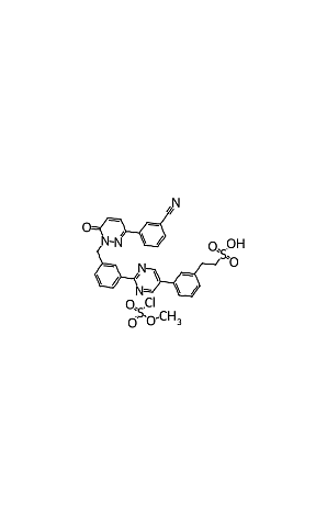 COS(=O)(=O)Cl.N#Cc1cccc(-c2ccc(=O)n(Cc3cccc(-c4ncc(-c5cccc(CCS(=O)(=O)O)c5)cn4)c3)n2)c1